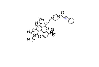 COC(=O)C1=C(C)NC(C)=C(C(=O)OCCN2CCN(C(=O)/C=C/c3ccccc3)CC2)C1c1cccc([N+](=O)[O-])c1